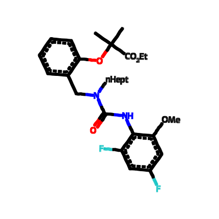 CCCCCCCN(Cc1ccccc1OC(C)(C)C(=O)OCC)C(=O)Nc1c(F)cc(F)cc1OC